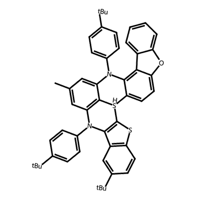 Cc1cc2c3c(c1)N(c1ccc(C(C)(C)C)cc1)c1c(ccc4oc5ccccc5c14)[SH]3c1sc3ccc(C(C)(C)C)cc3c1N2c1ccc(C(C)(C)C)cc1